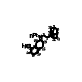 CCCN(CCC1C2CC3CC(C2)CC1C3)C1CCc2cccc(O)c2C1